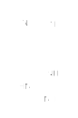 c1cnc2cc(NC3NCCN3)ccc2n1